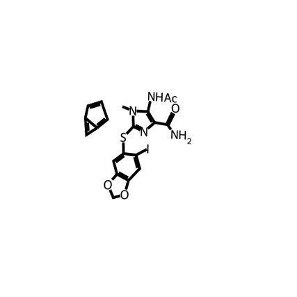 CC(=O)Nc1c(C(N)=O)nc(Sc2cc3c(cc2I)OCO3)n1C.c1cc2cc-2c1